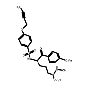 CC#CCOc1ccc(S(=O)(=O)N[C@H](CCCN(NO)C(=O)O)C(=O)c2ccc(OC)cc2)cc1